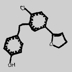 Oc1ccc(Cc2cc(C3=CCCO3)ccc2Cl)cc1